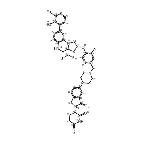 Cc1cc(CN2CCC(c3ccc4c(c3)C(=O)N([C@H]3CCC(=O)NC3=O)C4)CC2)ncc1O[C@H]1CN2c3cc(-c4cccc(F)c4O)nnc3NC[C@]2(C(F)F)C1